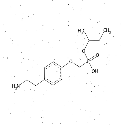 CCC(C)OP(=O)(O)COc1ccc(CCN)cc1